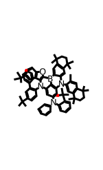 Cc1cc2c(cc1N1c3cc4c(cc3B3c5oc6ccc(C(C)(C)C)cc6c5N(c5ccc(C(C)(C)C)cc5-c5ccccc5)c5cc(N(c6ccccc6)c6ccccc6C(C)(C)C)cc1c53)C(C)(C)CCC4(C)C)C(C)(C)CCC2(C)C